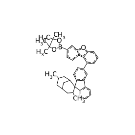 CC1CC2CC(C)C3(c4ccccc4-c4cc(-c5cccc6oc7cc(B8OC(C)(C)C(C)(C)O8)ccc7c56)ccc43)C(C1)C2